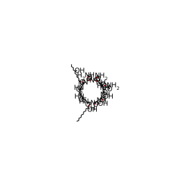 CCCCCCCCCC(O)CCC1NC(=O)C(C(C)O)NC(=O)C(C(C)O)NC(=O)C(CC(O)C(N)=O)NC(=O)C(C)NC(=O)C(CC(N)=O)NC(=O)C(CC(N)=O)NC(=O)C(CCCCCCCC(O)CCCC)NC(=O)CCNC(=O)CNC1=O